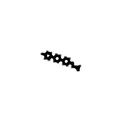 Cc1ccc(C2CCC(C3CCC(OCC4CO4)CC3)CC2)cc1